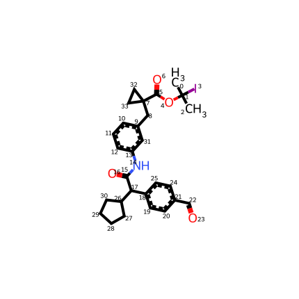 CC(C)(I)OC(=O)C1(Cc2cccc(NC(=O)C(c3ccc(C=O)cc3)C3CCCC3)c2)CC1